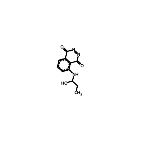 CCC(O)Nc1cccc2c1C(=O)N=NC2=O